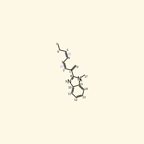 C=C(/C=C\C=C/CC)c1nc2ccccc2n1C